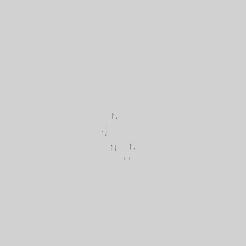 O=C1N=C(NC2CCCCC2)C23CCN(CC2)Cc2cccc(c2)CCCCCCCCN13